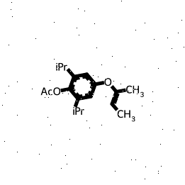 CC=C(C)Oc1cc(C(C)C)c(OC(C)=O)c(C(C)C)c1